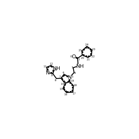 O=C(NCCn1cc(Cc2ncc[nH]2)c2ccccc21)c1ccccc1